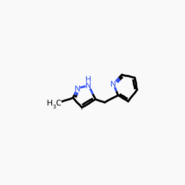 Cc1[c]c(Cc2ccccn2)[nH]n1